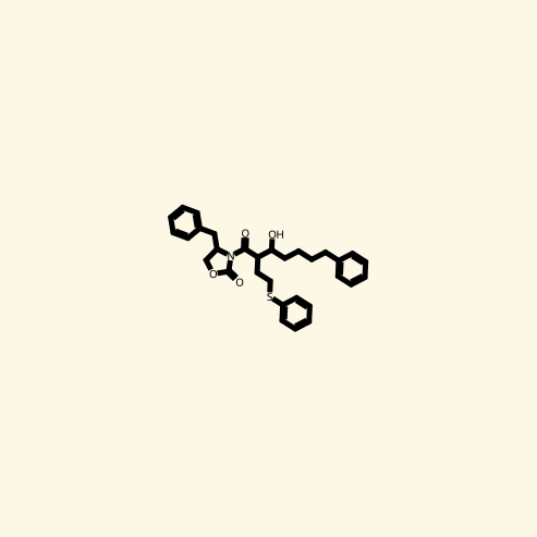 O=C1OCC(Cc2ccccc2)N1C(=O)C(CCSc1ccccc1)C(O)CCCCc1ccccc1